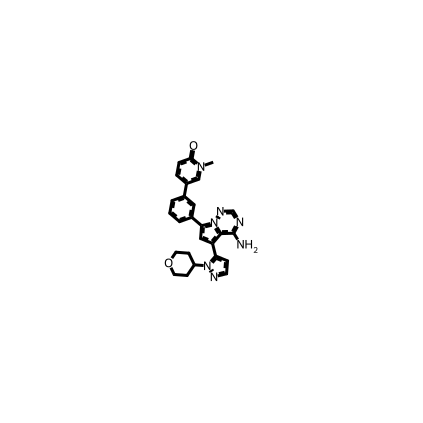 Cn1cc(-c2cccc(-c3cc(-c4ccnn4C4CCOCC4)c4c(N)ncnn34)c2)ccc1=O